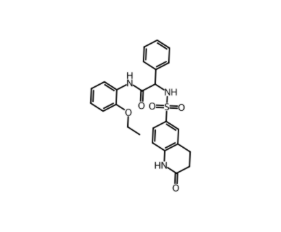 CCOc1ccccc1NC(=O)C(NS(=O)(=O)c1ccc2c(c1)CCC(=O)N2)c1ccccc1